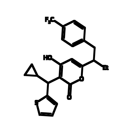 CCC(Cc1ccc(C(F)(F)F)cc1)c1cc(O)c(C(c2cccs2)C2CC2)c(=O)o1